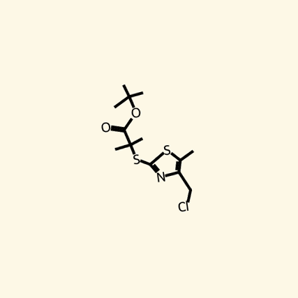 Cc1sc(SC(C)(C)C(=O)OC(C)(C)C)nc1CCl